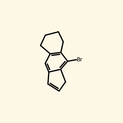 Brc1c2c(cc3c1CCCC3)C=CC2